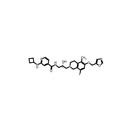 Cc1c(OCc2cnco2)cc(F)c2c1CCN(C[C@@H](O)CNC(=O)c1ccnc(NC3CCC3)c1)C2